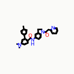 Cc1ccc(-c2cc(N(C)C)ccc2C(=O)Nc2ccc3c(c2)CCN3C(=O)Cc2ccccn2)cc1